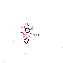 CCO[PH](OCC)(c1ccccc1)c1cc(OC)c(C=O)c(OC)c1.[LiH]